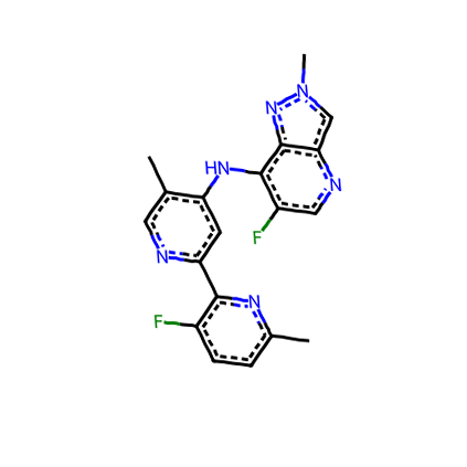 Cc1ccc(F)c(-c2cc(Nc3c(F)cnc4cn(C)nc34)c(C)cn2)n1